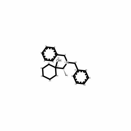 C[C@@H](N(Cc1ccccc1)Cc1ccccc1)C1(O)CCCCC1